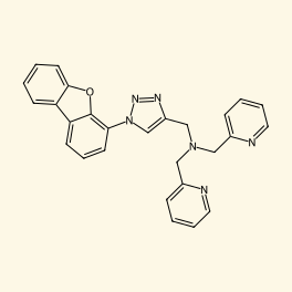 c1ccc(CN(Cc2ccccn2)Cc2cn(-c3cccc4c3oc3ccccc34)nn2)nc1